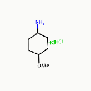 COC1CCC(N)CC1.Cl.Cl